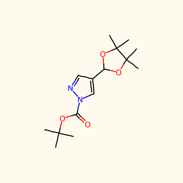 CC(C)(C)OC(=O)n1cc(C2OC(C)(C)C(C)(C)O2)cn1